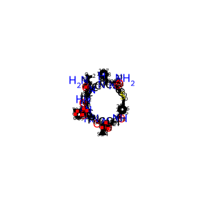 CC(C)CCC(=O)N1CCN[C@@H](Cc2ccccc2)CN(CC(N)=O)C(=O)CCSCc2ccc(cc2)C(=O)N[C@@H](Cc2ccccc2)CN(C(=O)CC2CC2)CC(=O)N[C@@H](Cc2c[nH]c3ccccc23)CN(C(=O)CC2CC2)CC(=O)N[C@@H](CCCCN)C1